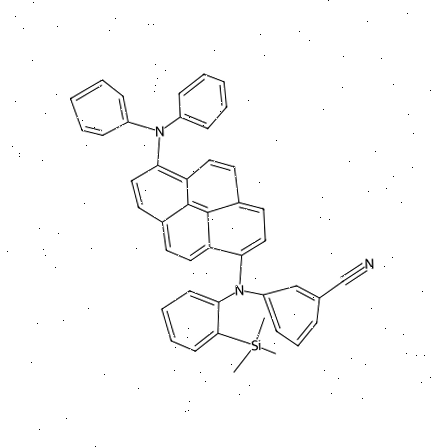 C[Si](C)(C)c1ccccc1N(c1cccc(C#N)c1)c1ccc2ccc3c(N(c4ccccc4)c4ccccc4)ccc4ccc1c2c43